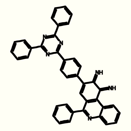 N=C1C(=N)c2c(c(-c3ccccc3)nc3ccccc23)C=C1c1ccc(-c2nc(-c3ccccc3)nc(-c3ccccc3)n2)cc1